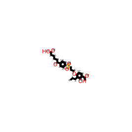 CCCc1c(OCCCS(=O)(=O)c2ccc(C(=O)CCCCC(=O)O)cc2)ccc(C(C)=O)c1O